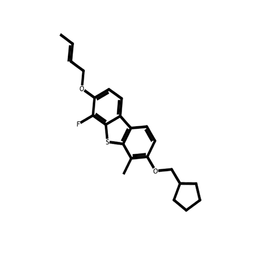 C/C=C/COc1ccc2c(sc3c(C)c(OCC4CCCC4)ccc32)c1F